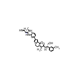 CN/C(=C\C=N)Nc1nccc(-c2cc3n(c2)CCN([C@@H](C)C(=O)N[C@H](CO)c2cccc(C)c2)C3=O)n1